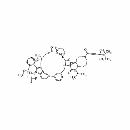 CO[C@@H](C)c1ncccc1-c1c2c3cc(ccc3n1CC(F)(F)F)-c1cccc(c1)C[C@H](NC(=O)[C@H](C(C)C)N1CCCN(C(=O)C#CC(C)(C)N(C)C)CCC1=O)C(=O)N1CCC[C@H](N1)C(=O)OCC(C)(C)C2